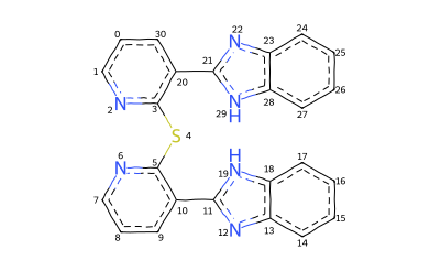 c1cnc(Sc2ncccc2-c2nc3ccccc3[nH]2)c(-c2nc3ccccc3[nH]2)c1